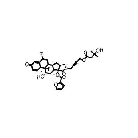 C[C@@H]1CC2C3C[C@H](F)C4=CC(=O)C=C[C@]4(C)[C@@]3(F)[C@@H](O)C[C@]2(C)[C@@]1(OC(=O)c1ccco1)C(=O)SCC#CCOC(=O)CC(C)(C)O